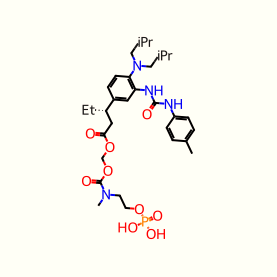 CC[C@@H](CC(=O)OCOC(=O)N(C)CCOP(=O)(O)O)c1ccc(N(CC(C)C)CC(C)C)c(NC(=O)Nc2ccc(C)cc2)c1